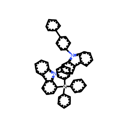 c1ccc(-c2ccc(-n3c4ccccc4c4ccc(-n5c6ccccc6c6cccc([Si](c7ccccc7)(c7ccccc7)c7ccccc7)c65)cc43)cc2)cc1